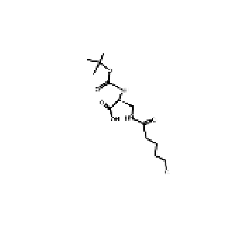 CC(C)(C)OC(=O)N[C@@H](CNC(=O)CCCCCl)C(=O)O